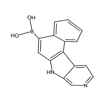 OB(O)c1cc2[nH]c3cnccc3c2c2ccccc12